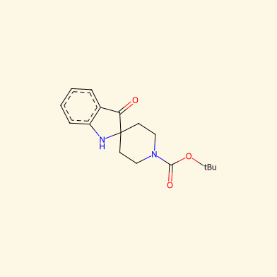 CC(C)(C)OC(=O)N1CCC2(CC1)Nc1ccccc1C2=O